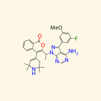 COc1cc(F)cc(-c2nn(C(C)c3oc(=O)c4ccccc4c3C3=CC(C)(C)NC(C)(C)C3)c3ncnc(N)c23)c1